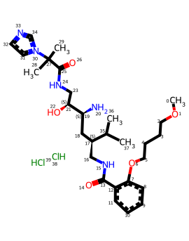 COCCCCOc1ccccc1C(=O)NC[C@@H](C[C@H](N)[C@@H](O)CNC(=O)C(C)(C)n1ccnc1)C(C)C.Cl.Cl